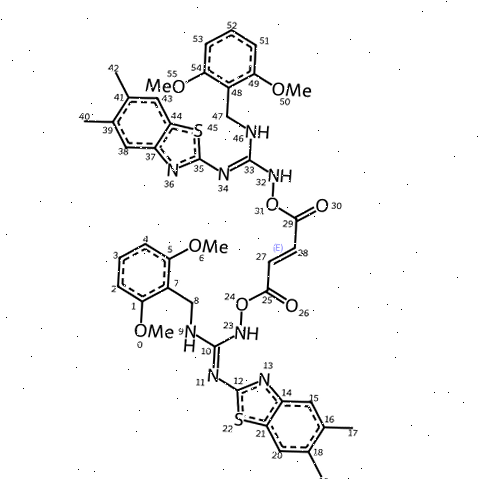 COc1cccc(OC)c1CNC(=Nc1nc2cc(C)c(C)cc2s1)NOC(=O)/C=C/C(=O)ONC(=Nc1nc2cc(C)c(C)cc2s1)NCc1c(OC)cccc1OC